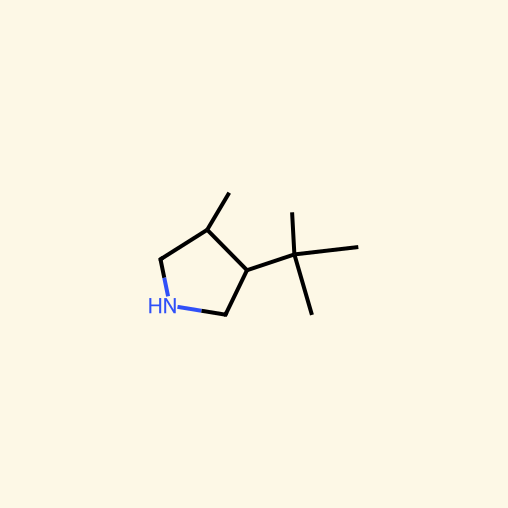 CC1CNCC1C(C)(C)C